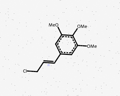 COc1cc(/C=C/CCl)cc(OC)c1OC